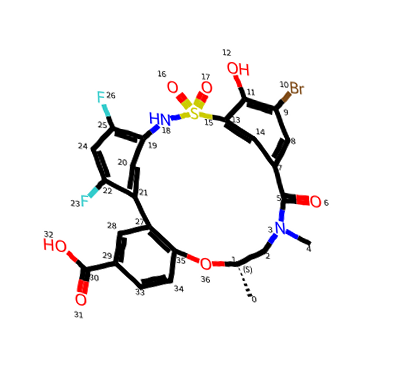 C[C@H]1CN(C)C(=O)c2cc(Br)c(O)c(c2)S(=O)(=O)Nc2cc(c(F)cc2F)-c2cc(C(=O)O)ccc2O1